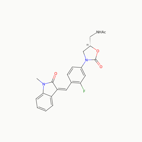 CC(=O)NC[C@H]1CN(c2ccc(C=C3C(=O)N(C)c4ccccc43)c(F)c2)C(=O)O1